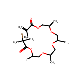 C=C(C)C(=O)OCC(C)OCC(C)OCC(C)OCC(C)OC(=O)C(C)(C)Br